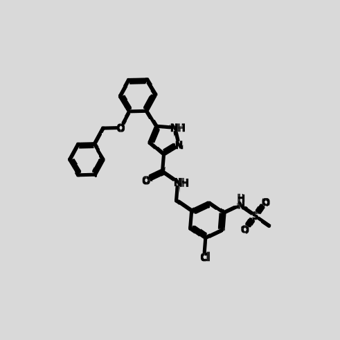 CS(=O)(=O)Nc1cc(Cl)cc(CNC(=O)c2cc(-c3ccccc3OCc3ccccc3)[nH]n2)c1